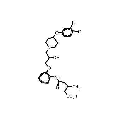 CC(CC(=O)O)CC(=O)Nc1ccccc1OCC(O)CN1CCC(Oc2ccc(Cl)c(Cl)c2)CC1